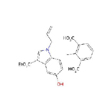 C=CCn1cc(C(=O)OCC)c2cc(O)ccc21.Cc1c(C(=O)O)cccc1C(=O)O